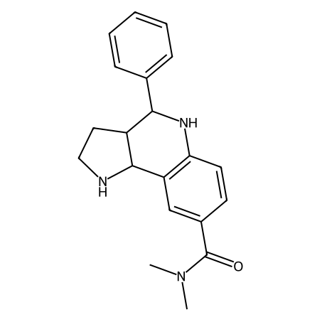 CN(C)C(=O)c1ccc2c(c1)C1NCCC1C(c1ccccc1)N2